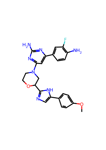 COc1ccc(-c2cnc(C3CN(c4cc(-c5ccc(N)c(F)c5)nc(N)n4)CCO3)[nH]2)cc1